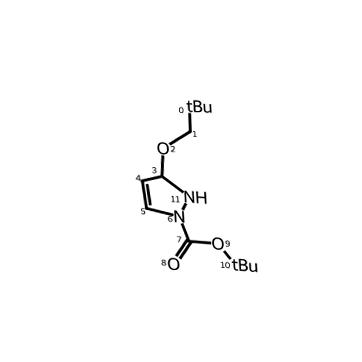 CC(C)(C)COC1C=CN(C(=O)OC(C)(C)C)N1